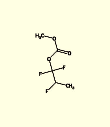 COC(=O)OC(F)(F)C(C)F